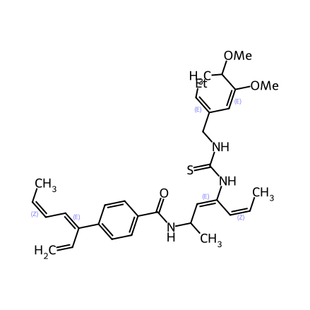 C=C/C(=C\C=C/C)c1ccc(C(=O)NC(C)/C=C(\C=C/C)NC(=S)NCC(=C/CC)/C=C(/OC)C(C)OC)cc1